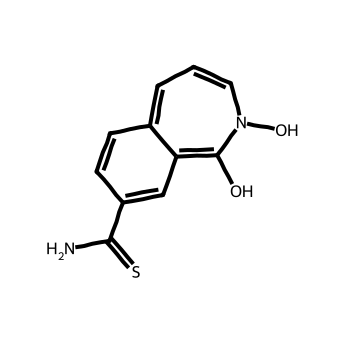 NC(=S)c1ccc2c(c1)=C(O)N(O)C=CC=2